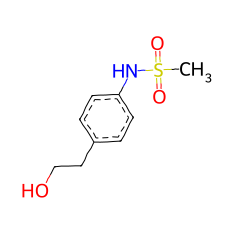 CS(=O)(=O)Nc1ccc(CCO)cc1